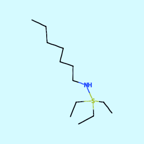 CCCCCCCNS(CC)(CC)CC